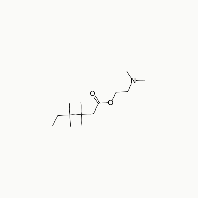 CCC(C)(C)C(C)(C)CC(=O)OCCN(C)C